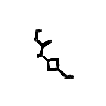 CS[C@H]1C[C@H](NC(=O)OC(C)(C)C)C1